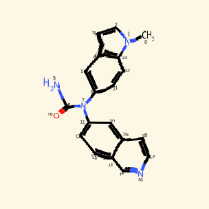 Cn1ccc2cc(N(C(N)=O)c3ccc4cnccc4c3)ccc21